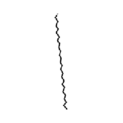 CCCCCCCCCCCCCCCCCCCCCCCCCCF